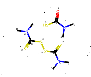 CN(C)C(=O)S.CN(C)C(=S)SSC(=S)N(C)C